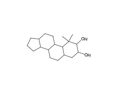 CC1(C)C(O)C(O)CC2CCC3C4CCCC4CCC3C21